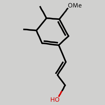 COC1=CC(/C=C/CO)=CC(C)C1C